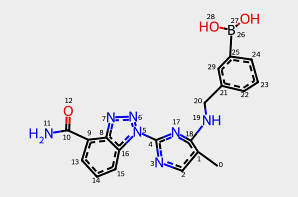 Cc1cnc(-n2nnc3c(C(N)=O)cccc32)nc1NCc1cccc(B(O)O)c1